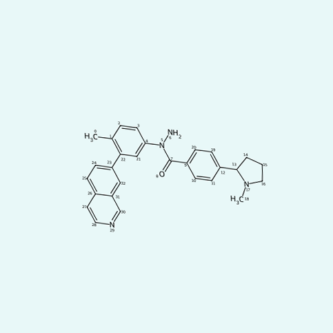 Cc1ccc(N(N)C(=O)c2ccc(C3CCCN3C)cc2)cc1-c1ccc2ccncc2c1